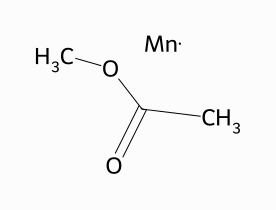 COC(C)=O.[Mn]